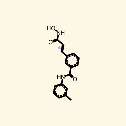 Cc1cccc(NC(=O)c2cccc(/C=C/C(=O)NO)c2)c1